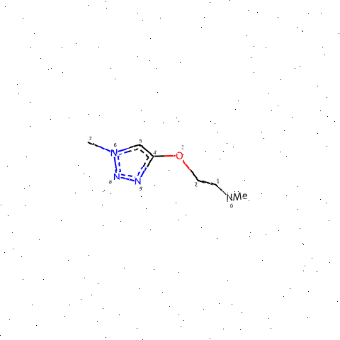 CNCCOc1cn(C)nn1